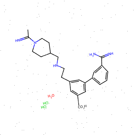 CC(=N)N1CCC(CNCCc2cc(C(=O)O)cc(-c3cccc(C(=N)N)c3)c2)CC1.Cl.Cl.O